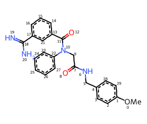 COc1ccc(CNC(=O)CN(C(=O)c2cccc(C(=N)N)c2)c2ccccc2)cc1